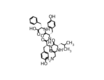 CC(C)C[C@H](NC(=O)CN)C(=O)N[C@@H](Cc1ccc(O)cc1)C(=O)N[C@@H](Cc1ccc(O)cc1)C(=O)N[C@@H](Cc1ccccc1)C(=O)O